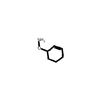 [SiH3]OC1C=CCCC1